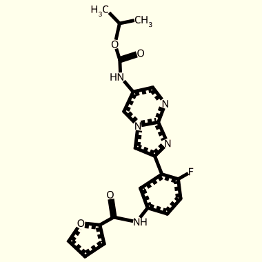 CC(C)OC(=O)Nc1cnc2nc(-c3cc(NC(=O)c4ccco4)ccc3F)cn2c1